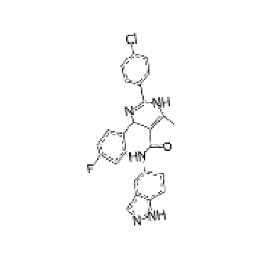 CC1=C(C(=O)Nc2ccc3[nH]ncc3c2)C(c2ccc(F)cc2)N=C(c2ccc(Cl)cc2)N1